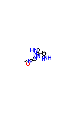 C=CC(=O)N1CC2(CCN(c3nc4c(c(-c5c(C)ccc6[nH]ncc56)n3)CCCN4)C2)C1